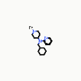 CCN1CCC(N(CC2CCCCC2)c2ccccn2)CC1